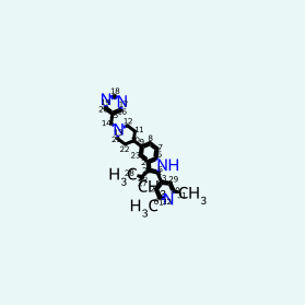 Cc1cc(-c2[nH]c3ccc(C4CCN(Cc5cncnc5)CC4)cc3c2C(C)C)cc(C)n1